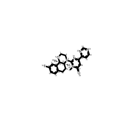 Cn1c(N2CCO[C@@H]3c4cc(F)ccc4CC[C@@H]32)nc(-c2ccncn2)cc1=O